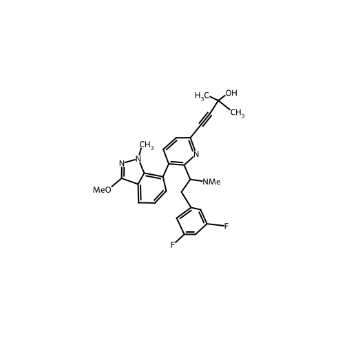 CNC(Cc1cc(F)cc(F)c1)c1nc(C#CC(C)(C)O)ccc1-c1cccc2c(OC)nn(C)c12